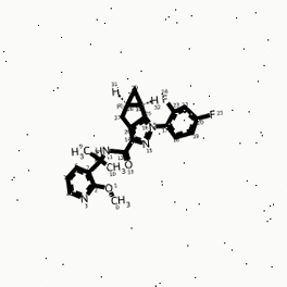 COc1ncccc1C(C)(C)NC(=O)c1nn(-c2ccc(F)cc2F)c2c1C[C@H]1C[C@@H]21